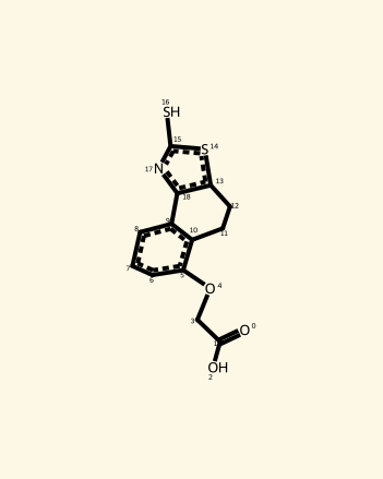 O=C(O)COc1cccc2c1CCc1sc(S)nc1-2